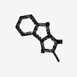 Cc1nc2c([nH]1)oc1ccccc12